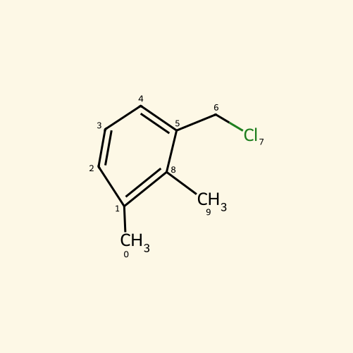 Cc1cccc(CCl)c1C